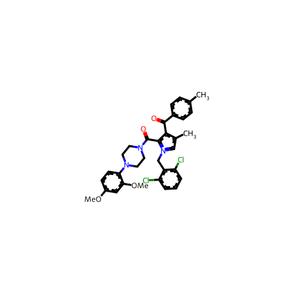 COc1ccc(N2CCN(C(=O)c3c(C(=O)c4ccc(C)cc4)c(C)cn3Cc3c(Cl)cccc3Cl)CC2)c(OC)c1